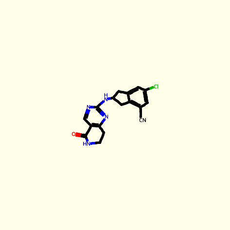 N#Cc1cc(Cl)cc2c1CC(Nc1ncc3c(n1)CCNC3=O)C2